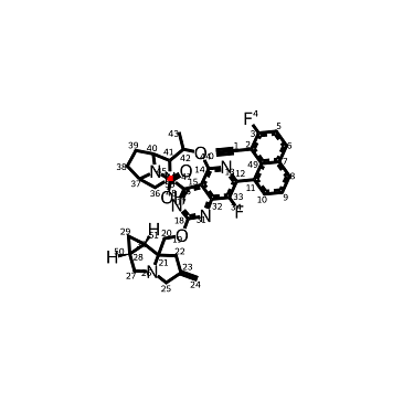 C#Cc1c(F)ccc2cccc(-c3nc4c5c(nc(OCC67CC(=C)CN6C[C@@H]6C[C@@H]67)nc5c3F)N3CC5CCC(C3C(C)O4)N5C(=O)O)c12